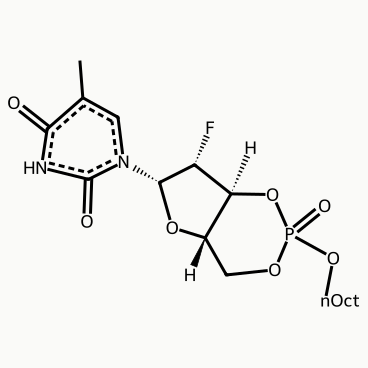 CCCCCCCCOP1(=O)OC[C@@H]2O[C@H](n3cc(C)c(=O)[nH]c3=O)[C@H](F)[C@H]2O1